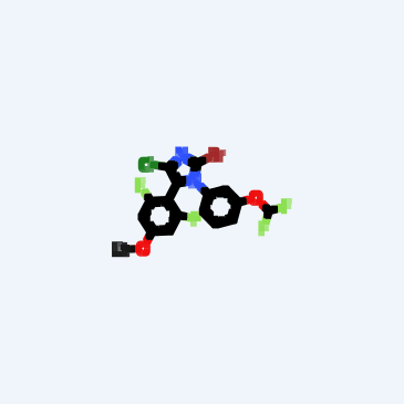 CCOc1cc(F)c(-c2c(Cl)nc(Br)n2-c2cccc(OC(F)F)c2)c(F)c1